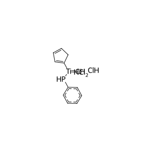 Cl.Cl.[CH2]=[Ti]([PH]c1ccccc1)[C]1=CC=CC1